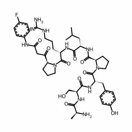 CC(C)C[C@H](NC(=O)[C@H]1CCCN1C(=O)[C@H](Cc1ccc(O)cc1)NC(=O)[C@H](CO)NC(=O)[C@H](C)N)C(=O)N[C@@H](CCCNC(=N)N)C(=O)N1CCC[C@H]1C(=O)CC(=O)Nc1ccc(F)cc1